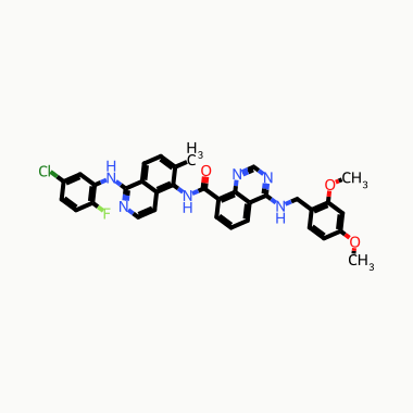 COc1ccc(CNc2ncnc3c(C(=O)Nc4c(C)ccc5c(Nc6cc(Cl)ccc6F)nccc45)cccc23)c(OC)c1